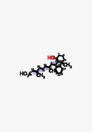 CC(/C=C/C1=C(O)CCC[C@]1(C)c1ccccc1)=C\C=C\C(C)=C\C(=O)O